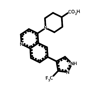 O=C(O)C1CCN(c2ccnc3ccc(-c4c[nH]nc4C(F)(F)F)cc23)CC1